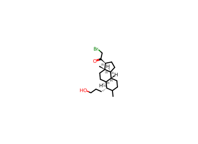 CC1CC[C@@H]2[C@H](CC[C@]3(C)[C@@H](C(=O)CBr)CC[C@@H]23)[C@H]1CCCO